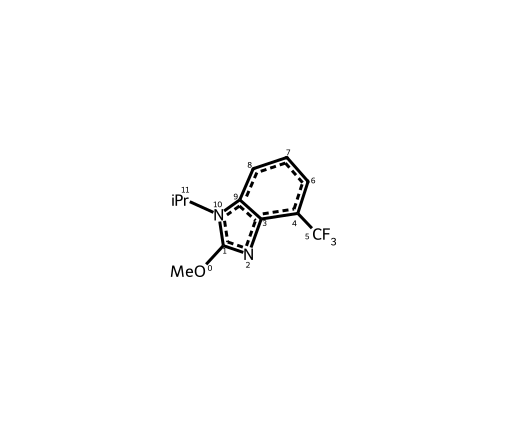 COc1nc2c(C(F)(F)F)cccc2n1C(C)C